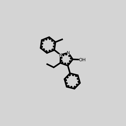 CCc1c(-c2ccccc2)c(O)nn1-c1ccccc1C